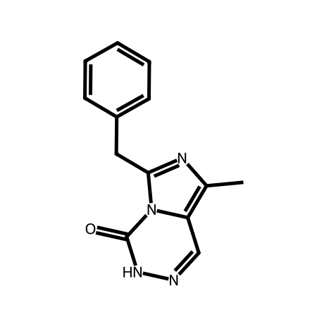 Cc1nc(Cc2ccccc2)n2c(=O)[nH]ncc12